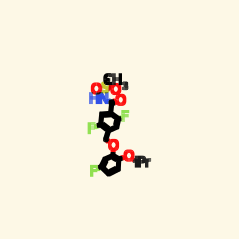 CC(C)Oc1ccc(F)cc1OCc1cc(F)c(C(=O)NS(C)(=O)=O)cc1F